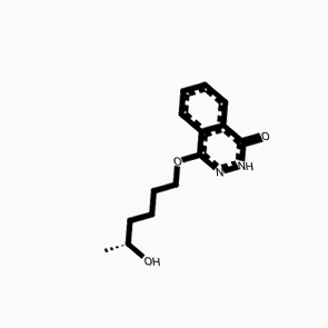 C[C@@H](O)CCCCOc1n[nH]c(=O)c2ccccc12